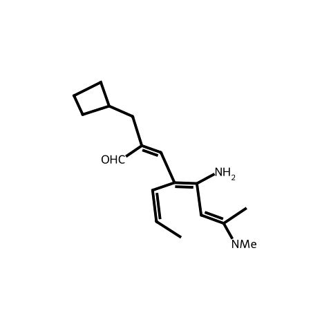 C\C=C/C(/C=C(\C=O)CC1CCC1)=C(N)\C=C(/C)NC